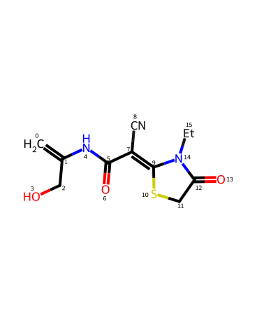 C=C(CO)NC(=O)/C(C#N)=C1\SCC(=O)N1CC